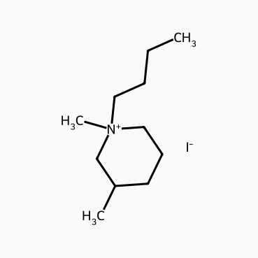 CCCC[N+]1(C)CCCC(C)C1.[I-]